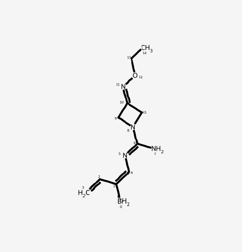 B/C(C=C)=C/N=C(\N)N1CC(=NOCC)C1